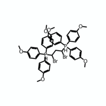 COc1ccc([PH](c2ccc(OC)cc2)(c2ccc(OC)cc2)C(Br)CC(Br)[PH](c2ccc(OC)cc2)(c2ccc(OC)cc2)c2ccc(OC)cc2)cc1